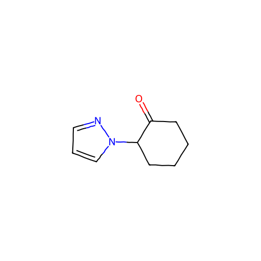 O=C1CCCCC1n1cccn1